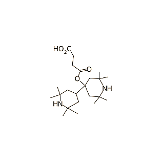 CC1(C)CC(C2(OC(=O)CCC(=O)O)CC(C)(C)NC(C)(C)C2)CC(C)(C)N1